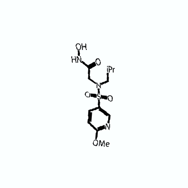 COc1ccc(S(=O)(=O)N(CC(=O)NO)CC(C)C)cn1